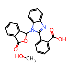 CO.O=C(O)c1ccccc1-c1nc2ccccc2n1C1OC(=O)c2ccccc21